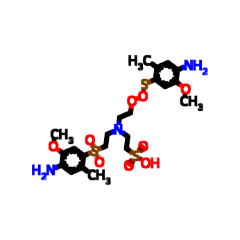 COc1cc(SOOCCN(CCS(=O)(=O)O)CCS(=O)(=O)c2cc(OC)c(N)cc2C)c(C)cc1N